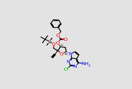 C#C[C@]1(CO[Si](C)(C)C(C)(C)C)O[C@@H](n2ccc3c(N)nc(Cl)nc32)C[C@@H]1OC(=O)OCc1ccccc1